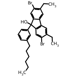 CCCCCCc1cccc(C2(O)c3cc(Br)c(CC)cc3-c3cc(CC)c(Br)cc32)c1